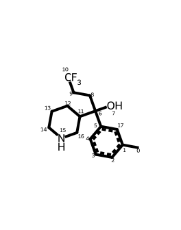 Cc1cccc(C(O)(CCC(F)(F)F)C2CCCNC2)c1